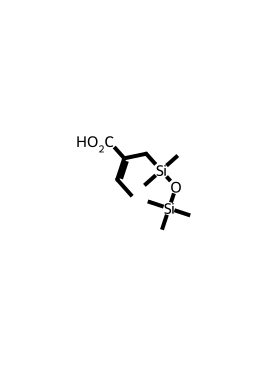 CC=C(C[Si](C)(C)O[Si](C)(C)C)C(=O)O